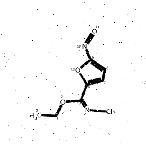 CCO/C(=N/Cl)c1ccc(N=O)o1